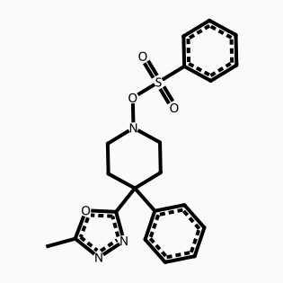 Cc1nnc(C2(c3ccccc3)CCN(OS(=O)(=O)c3ccccc3)CC2)o1